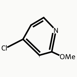 COc1[c]c(Cl)ccn1